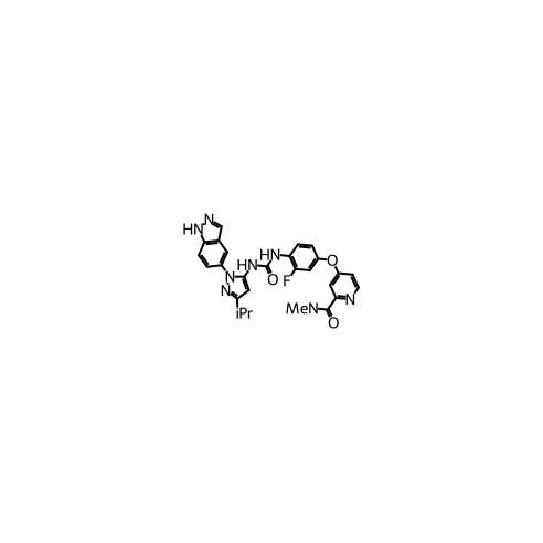 CNC(=O)c1cc(Oc2ccc(NC(=O)Nc3cc(C(C)C)nn3-c3ccc4[nH]ncc4c3)c(F)c2)ccn1